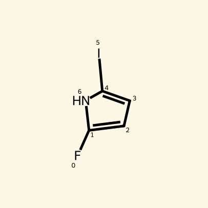 Fc1ccc(I)[nH]1